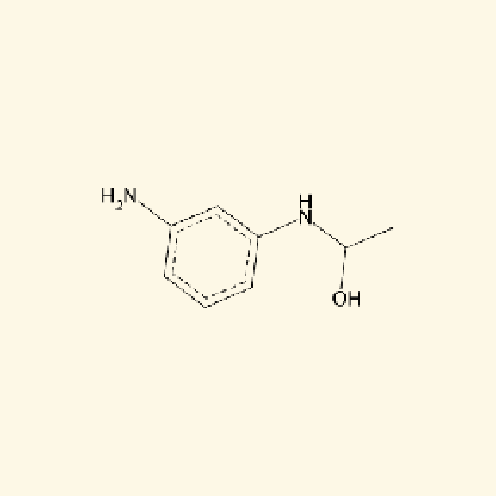 CC(O)Nc1cccc(N)c1